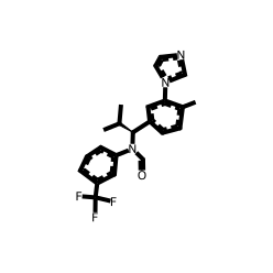 Cc1ccc([C@H](C(C)C)N(C=O)c2cccc(C(F)(F)F)c2)cc1-n1ccnc1